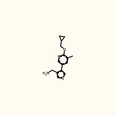 Cc1cc(-c2cscc2CN)cnc1OCC1CC1